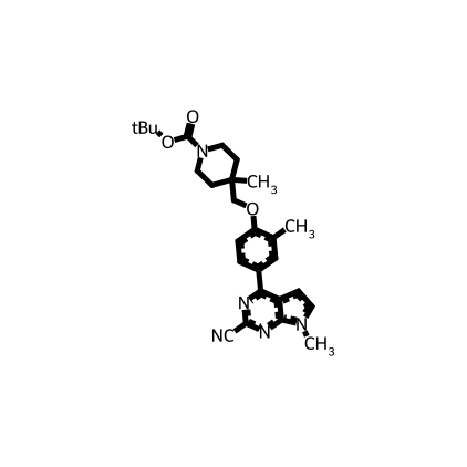 Cc1cc(-c2nc(C#N)nc3c2ccn3C)ccc1OCC1(C)CCN(C(=O)OC(C)(C)C)CC1